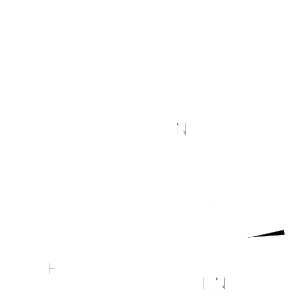 Cc1cc2c(cc1F)c([C@@H](C)N)cn2CC(C)C